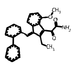 CCC1=C(C(=O)C(N)=O)c2c(OC)cccc2/C1=C\c1ccccc1-c1ccccc1